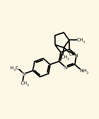 CN(C)c1ccc(-c2nc(N)nc3c2C2CCC3(C)C2(C)C)cc1